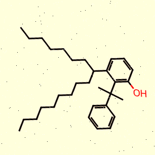 CCCCCCCCCC(CCCCCCC)c1cccc(O)c1C(C)(C)c1ccccc1